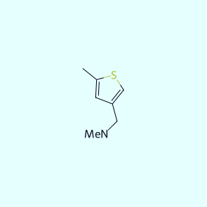 CNCc1csc(C)c1